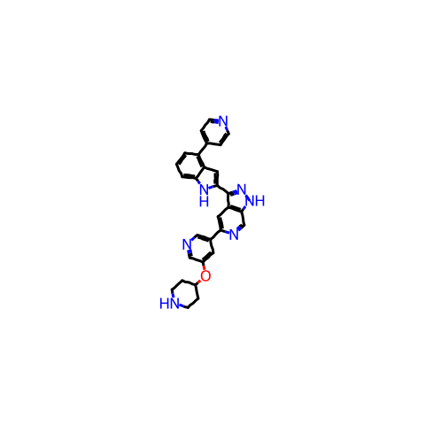 c1cc(-c2ccncc2)c2cc(-c3n[nH]c4cnc(-c5cncc(OC6CCNCC6)c5)cc34)[nH]c2c1